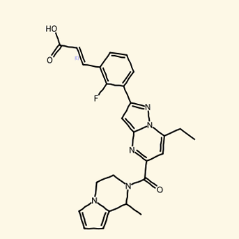 CCc1cc(C(=O)N2CCn3cccc3C2C)nc2cc(-c3cccc(/C=C/C(=O)O)c3F)nn12